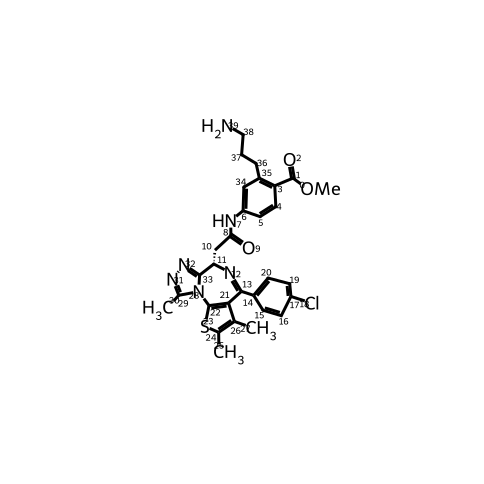 COC(=O)c1ccc(NC(=O)C[C@@H]2N=C(c3ccc(Cl)cc3)c3c(sc(C)c3C)-n3c(C)nnc32)cc1CCCN